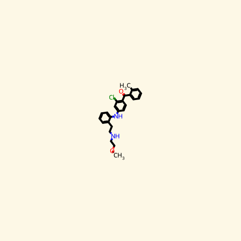 COCCNCCc1ccccc1Nc1ccc(C(=O)c2ccccc2C)c(Cl)c1